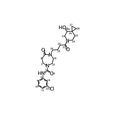 O=C1CCN(C(=O)Nc2cccc(Cl)c2)CCN1CCCC(=O)N1CCC2(CC2)[C@H](O)C1